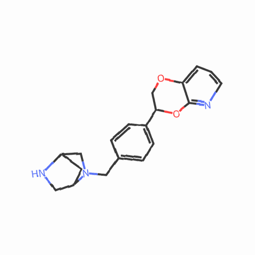 c1cnc2c(c1)OCC(c1ccc(CN3CC4CC3CN4)cc1)O2